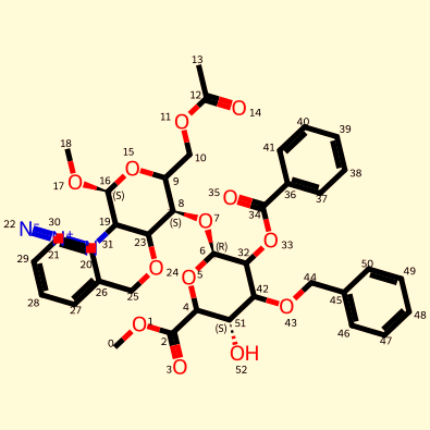 COC(=O)C1O[C@@H](O[C@@H]2C(COC(C)=O)O[C@H](OC)C(N=[N+]=[N-])C2OCc2ccccc2)C(OC(=O)c2ccccc2)C(OCc2ccccc2)[C@@H]1O